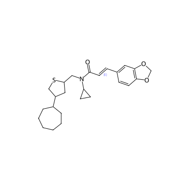 O=C(/C=C/c1ccc2c(c1)OCO2)N(CC1CC(C2CCCCCC2)CS1)C1CC1